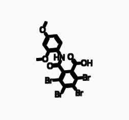 COc1ccc(NC(=O)c2c(Br)c(Br)c(Br)c(Br)c2C(=O)O)c(OC)c1